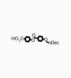 CCCCCCCCCCCOc1ccc(C(=O)Oc2ccc(C(=O)O)cc2)cc1